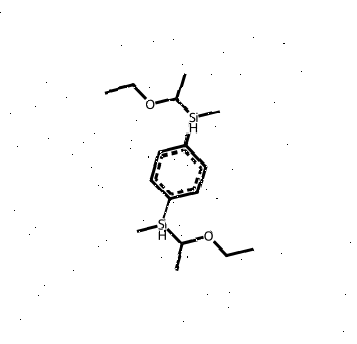 CCOC(C)[SiH](C)c1ccc([SiH](C)C(C)OCC)cc1